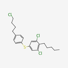 CCCCCc1c(Cl)cc(Sc2ccc(CCCCCl)cc2)cc1Cl